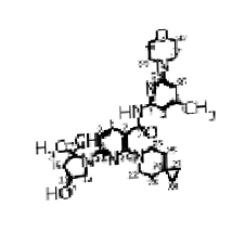 Cc1cc(NC(=O)c2ccc(N3CC(O)CC3(C)C)nc2N2CCC3(CC2)CC3)nc(N2CCOCC2)c1